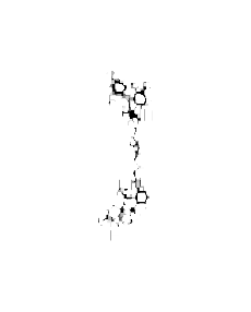 O=C1CCC(N2C(=O)c3cccc(NCCCCCNCCCONC(=O)c4ccc(F)c(F)c4Nc4ccc(I)cc4F)c3C2=O)C(=O)N1